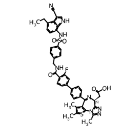 CCc1ccc(NS(=O)(=O)c2ccc(CNC(=O)c3ccc(-c4ccc(C5=N[C@@H](CC(=O)O)c6nnc(C)n6-c6sc(C)c(C)c65)cc4)cc3F)cc2)c2[nH]cc(C#N)c12